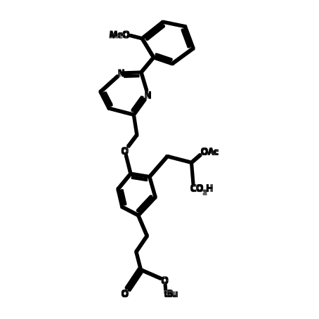 COc1ccccc1-c1nccc(COc2ccc(CCC(=O)OC(C)(C)C)cc2CC(OC(C)=O)C(=O)O)n1